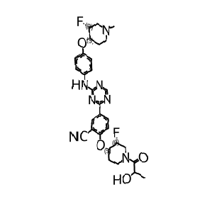 CC(O)C(=O)N1CC[C@H](Oc2ccc(-c3ncnc(Nc4ccc(O[C@H]5CCN(C)C[C@H]5F)cc4)n3)cc2C#N)[C@H](F)C1